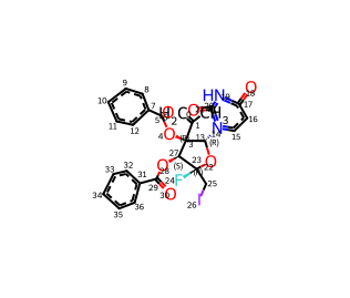 C=C(C)[C@]1(OC(=O)c2ccccc2)[C@H](n2ccc(=O)[nH]c2=O)O[C@](F)(CI)[C@H]1OC(=O)c1ccccc1